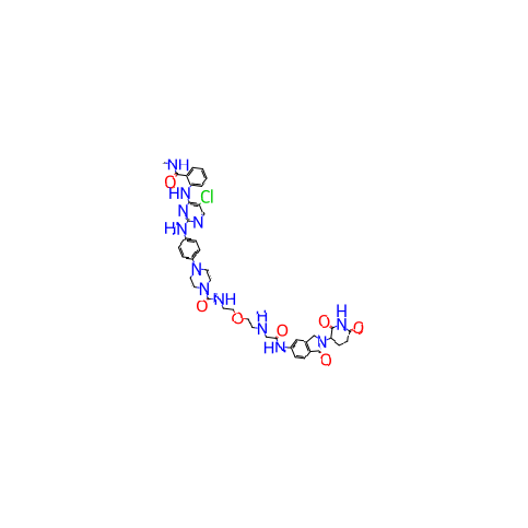 CNC(=O)c1ccccc1Nc1nc(Nc2ccc(N3CCN(C(=O)NCCOCCNCC(=O)Nc4ccc5c(c4)CN(C4CCC(=O)NC4=O)C5=O)CC3)cc2)ncc1Cl